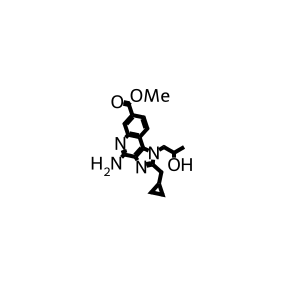 COC(=O)c1ccc2c(c1)nc(N)c1nc(CC3CC3)n(CC(C)O)c12